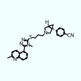 Cc1ccc2c(-c3nnc(SCCCN4C[C@@H]5C[C@@]5(c5ccc(C#N)cc5)C4)n3C)cccc2n1